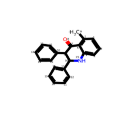 [CH2]c1cccc2c1C(=O)C(c1ccccc1)C(c1ccccc1)N2